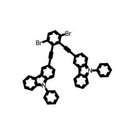 Brc1ccc(Br)c(C#Cc2ccc3c(c2)c2ccccc2n3-c2ccccc2)c1C#Cc1ccc2c(c1)c1ccccc1n2-c1ccccc1